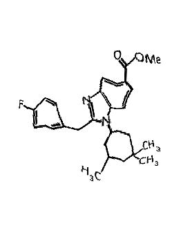 COC(=O)c1ccc2c(c1)nc(Cc1ccc(F)cc1)n2C1CC(C)CC(C)(C)C1